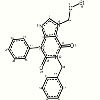 CCOCn1cnc2c1c(=O)n(Cc1ccccc1)c(=O)n2-c1ccccc1